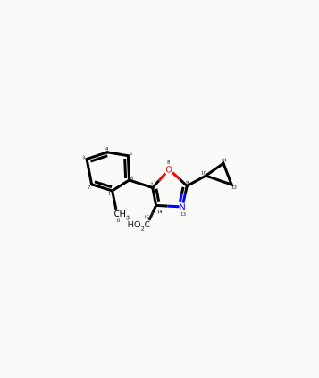 Cc1ccccc1-c1oc(C2CC2)nc1C(=O)O